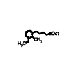 C=Cc1cccc(CCCCCCCCCCCC)c1C